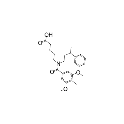 COc1cc(C(=O)N(CCCCC(=O)O)CCC(C)c2ccccc2)cc(OC)c1C